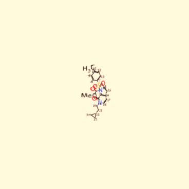 COC(=O)[N+]1(S(=O)(=O)c2ccc(C)cc2)C=Cc2ccn(CCC3CC3)c(=O)c21